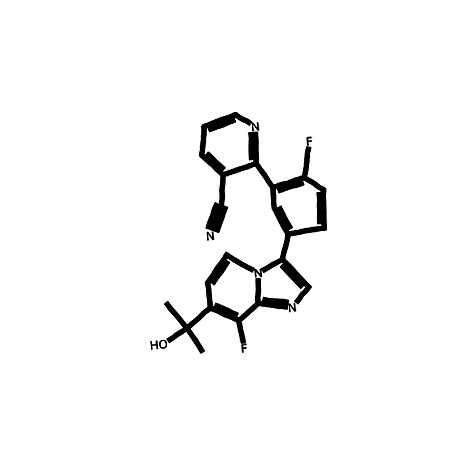 CC(C)(O)c1ccn2c(-c3ccc(F)c(-c4ncccc4C#N)c3)cnc2c1F